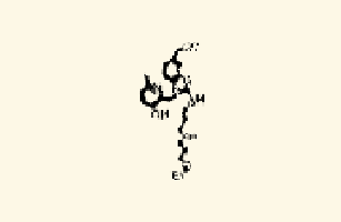 CCOCCCNCCCNc1nc2cc(CO)ccc2n1Cc1nc(C)ccc1O